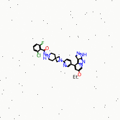 CCOc1cc(-c2ccc(N3CC4(CCN(NC(=O)c5c(F)cccc5Cl)CC4)C3)nc2)c2c3cn[nH]c3nn2c1